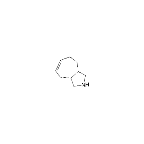 C1=CCC2CNCC2CC1